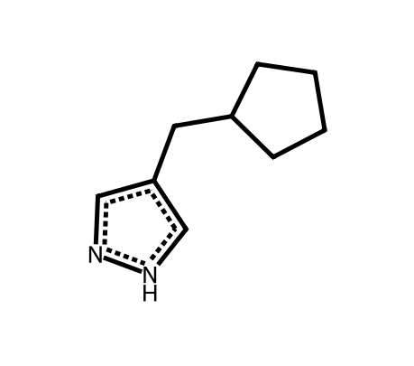 c1n[nH]cc1CC1CCCC1